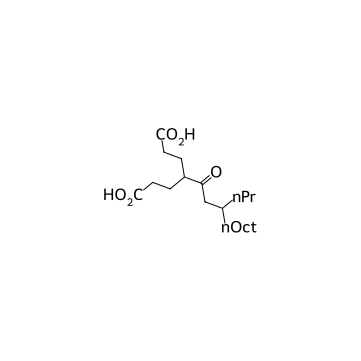 CCCCCCCCC(CCC)CC(=O)C(CCC(=O)O)CCC(=O)O